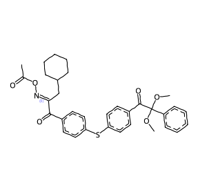 COC(OC)(C(=O)c1ccc(Sc2ccc(C(=O)/C(CC3CCCCC3)=N/OC(C)=O)cc2)cc1)c1ccccc1